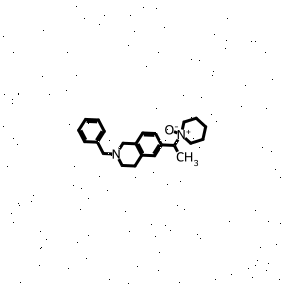 CC(c1ccc2c(c1)CCN(Cc1ccccc1)C2)[N+]1([O-])CCCCC1